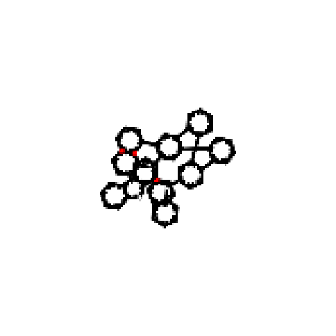 c1ccc(-c2cc3c(cc2N(c2ccccc2)c2ccccc2)C2(c4ccccc4-c4ccc(N(c5ccccc5)c5cccc6c5oc5ccccc56)cc42)c2ccccc2-3)cc1